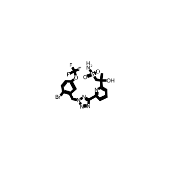 CC(O)(CS(N)(=O)=O)c1cccc(-c2nnn(Cc3cc(OC(F)(F)F)ccc3Br)n2)n1